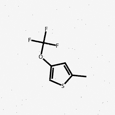 Cc1cc(OC(F)(F)F)cs1